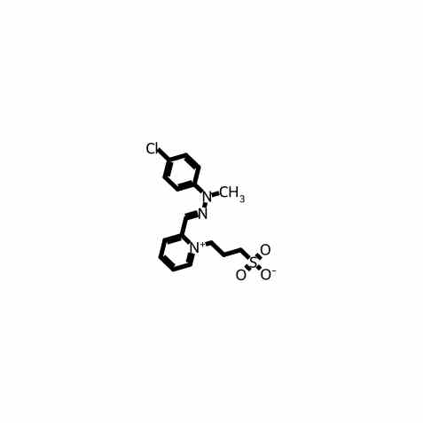 CN(/N=C/c1cccc[n+]1CCCS(=O)(=O)[O-])c1ccc(Cl)cc1